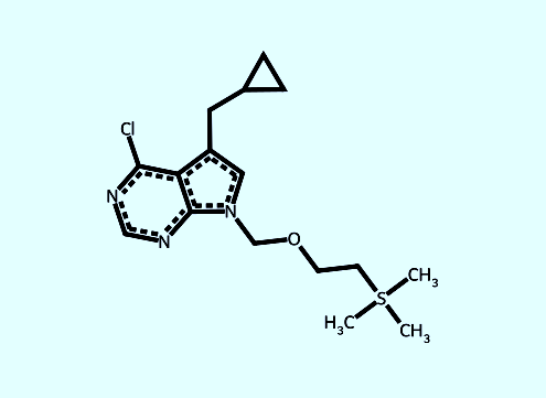 CS(C)(C)CCOCn1cc(CC2CC2)c2c(Cl)ncnc21